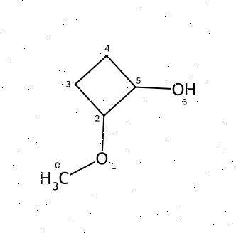 COC1CCC1O